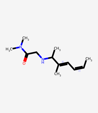 C/C=C\C=C(/C)C(C)NCC(=O)N(C)C